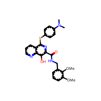 COc1cccc(CNC(=O)c2nc(Sc3ccc(N(C)C)cc3)c3cccnc3c2O)c1OC